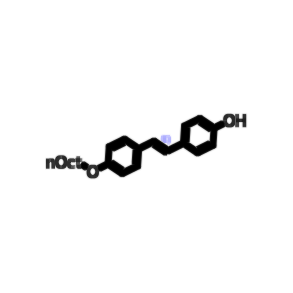 CCCCCCCCOc1ccc(/C=C/c2ccc(O)cc2)cc1